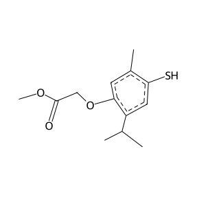 COC(=O)COc1cc(C)c(S)cc1C(C)C